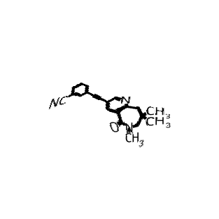 CN1CC(C)(C)Cc2ncc(C#Cc3cccc(C#N)c3)cc2C1=O